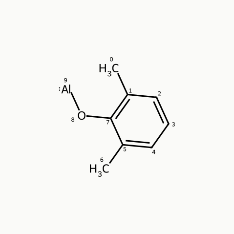 Cc1cccc(C)c1[O][Al]